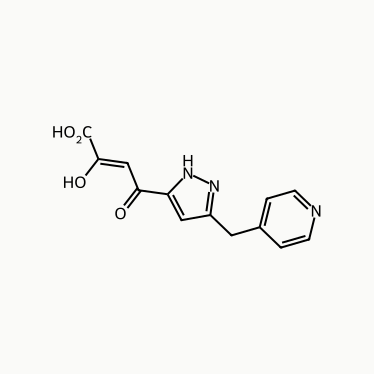 O=C(O)C(O)=CC(=O)c1cc(Cc2ccncc2)n[nH]1